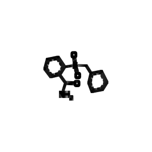 NC(=O)c1ccccc1S(=O)(=O)Cc1ccccc1